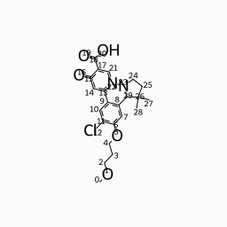 COCCCOc1cc2c(cc1Cl)-c1cc(=O)c(C(=O)O)cn1N1CCC(C)(C)C21